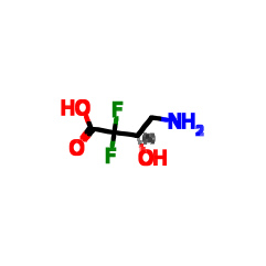 NC[C@H](O)C(F)(F)C(=O)O